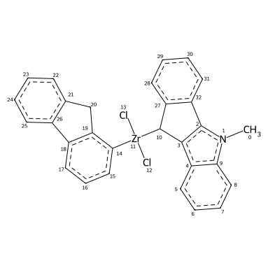 Cn1c2c(c3ccccc31)[CH]([Zr]([Cl])([Cl])[c]1cccc3c1Cc1ccccc1-3)c1ccccc1-2